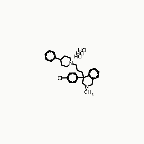 CN1Cc2ccccc2C(CCCN2CCC(c3ccccc3)CC2)(c2ccc(Cl)cc2)C1.Cl.Cl.Cl